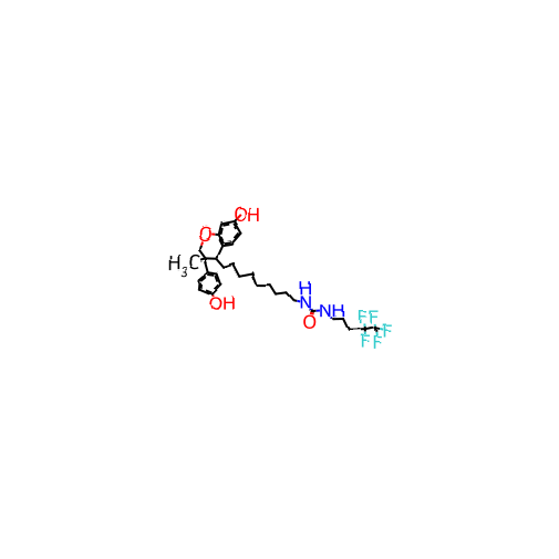 CC1(c2ccc(O)cc2)COc2cc(O)ccc2C1CCCCCCCCCNC(=O)NCCCC(F)(F)C(F)(F)F